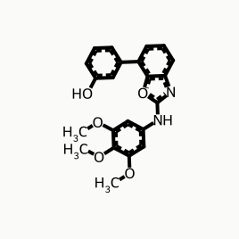 COc1cc(Nc2nc3cccc(-c4cccc(O)c4)c3o2)cc(OC)c1OC